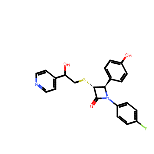 O=C1[C@H](SCC(O)c2ccncc2)[C@@H](c2ccc(O)cc2)N1c1ccc(F)cc1